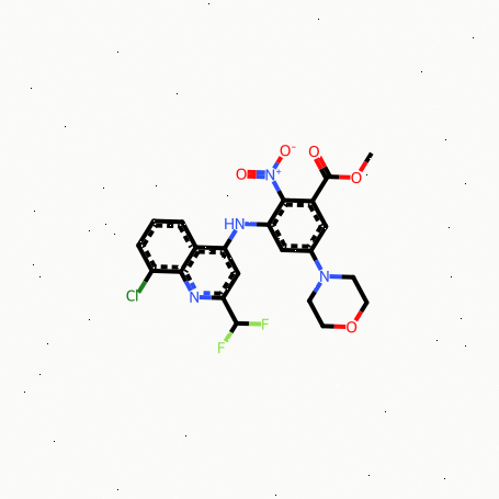 COC(=O)c1cc(N2CCOCC2)cc(Nc2cc(C(F)F)nc3c(Cl)cccc23)c1[N+](=O)[O-]